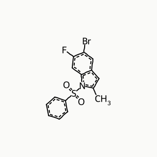 Cc1cc2cc(Br)c(F)cc2n1S(=O)(=O)c1ccccc1